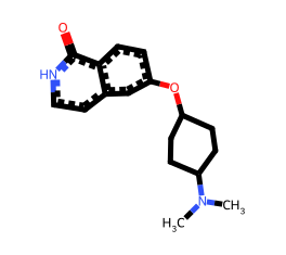 CN(C)C1CCC(Oc2ccc3c(=O)[nH]ccc3c2)CC1